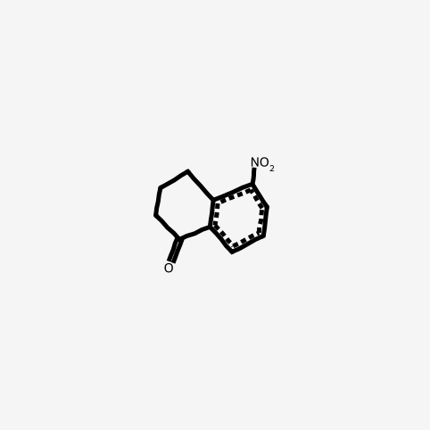 O=C1CCCc2c1cccc2[N+](=O)[O-]